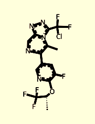 Cc1c(-c2cnc(O[C@H](C)C(F)(F)F)c(F)c2)ncc2nnc(C(F)(F)Cl)n12